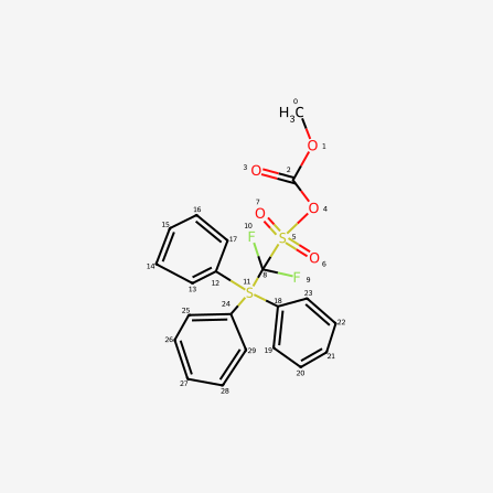 COC(=O)OS(=O)(=O)C(F)(F)S(c1ccccc1)(c1ccccc1)c1ccccc1